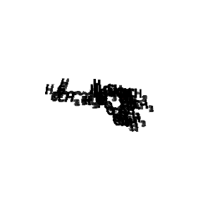 CC[C@H]1OC(=O)[C@H](C)[C@@H](C2C[C@@](C)(OC)[C@@H](O)[C@H](C)O2)[C@H](C)[C@@H](O[C@@H]2O[C@H](C)C[C@H](N(C)C)[C@H]2OC(C)=O)[C@](C)(O)C[C@@H](C)CN(C)[C@H](C)[C@@H](OC(=O)NCCCCCCCCCC[PH](C)(C)c2ccccc2)[C@]1(C)O